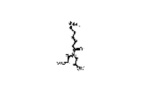 NCCCCCC(=O)N(CCO)CCO